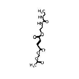 CCNC(=O)NCCOC(=O)/C=C/C(=O)OCOC(C)=O